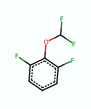 Fc1c[c]cc(F)c1OC(F)F